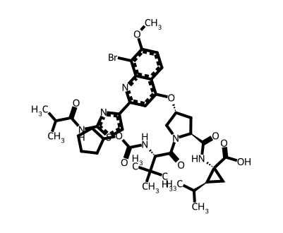 COc1ccc2c(O[C@@H]3C[C@@H](C(=O)N[C@]4(C(=O)O)C[C@H]4C(C)C)N(C(=O)[C@@H](NC(=O)OC4CCCC4)C(C)(C)C)C3)cc(-c3csc(NC(=O)C(C)C)n3)nc2c1Br